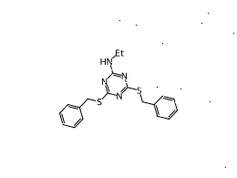 CCNc1nc(SCc2ccccc2)nc(SCc2ccccc2)n1